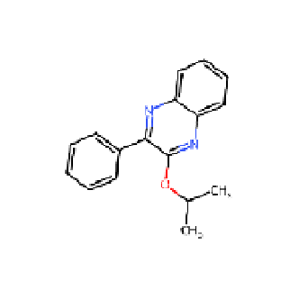 CC(C)Oc1nc2ccccc2nc1-c1ccccc1